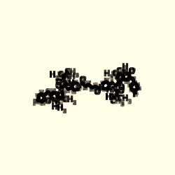 CN[C@@H](C)C(=O)N[C@@H](CC1CCN(C(=O)CCCCC(=O)N2CCC(C[C@H](NC(=O)[C@H](C)NC)C(=O)N3CC(C)(C)c4[nH]c(=O)c(Cc5ccc(F)cc5)cc43)CC2)CC1)C(=O)N1CC(C)(C)c2[nH]c(=O)c(Cc3ccc(F)cc3)cc21